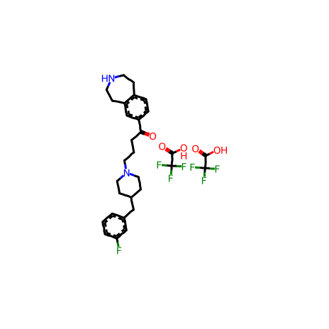 O=C(CCCN1CCC(Cc2cccc(F)c2)CC1)c1ccc2c(c1)CCNCC2.O=C(O)C(F)(F)F.O=C(O)C(F)(F)F